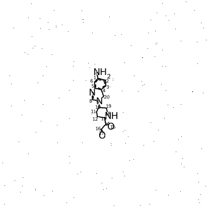 Nc1ccc2c(c1)N=CN(C1CCC(C(=O)C=O)NC1)C2